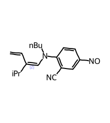 C=C/C(=C\N(CCCC)c1ccc(N=O)cc1C#N)C(C)C